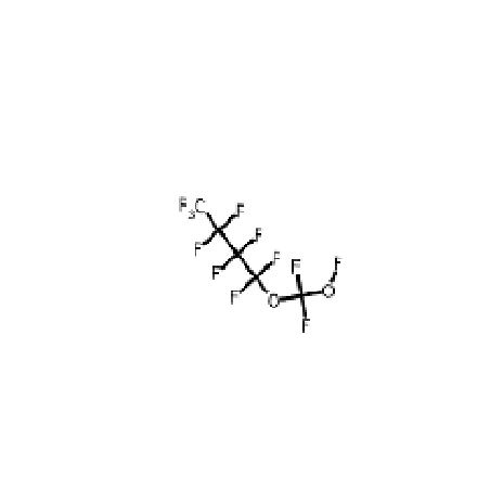 FOC(F)(F)OC(F)(F)C(F)(F)C(F)(F)C(F)(F)F